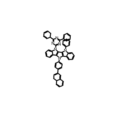 C1=CCC(c2nc(-c3ccccc3)nc(-n3c4ccccc4c4c3c3c(c5ccccc5n3-c3ccccc3)n4-c3ccc(C4=CCC5C=CC=CC5=C4)cc3)n2)C=C1